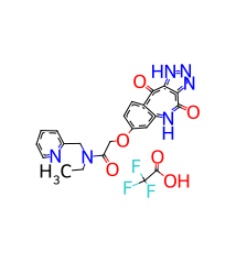 CCN(Cc1ccccn1)C(=O)COc1ccc2c(=O)c3[nH]nnc3c(=O)[nH]c2c1.O=C(O)C(F)(F)F